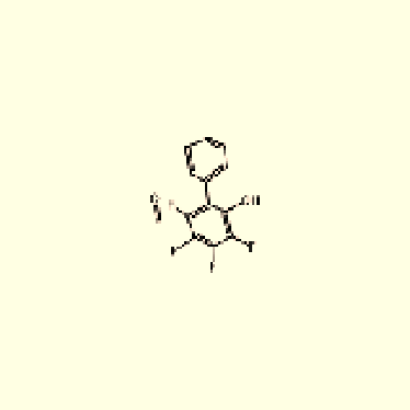 C=O.Oc1c(F)c(F)c(F)c(F)c1-c1ccccc1